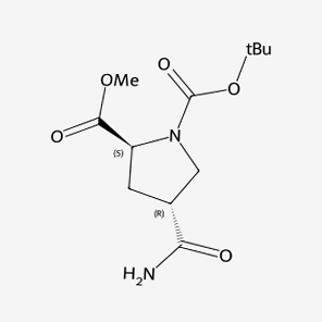 COC(=O)[C@@H]1C[C@@H](C(N)=O)CN1C(=O)OC(C)(C)C